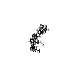 CC1=C(Oc2ccc(Cc3cc(-c4ccc[n+](COP(=O)([O-])O)c4N)on3)cn2)C(=O)C(C)O1